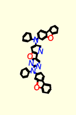 c1ccc(N(c2ccc3c(c2)oc2ccccc23)c2cnc3c(c2)oc2nc(N(c4ccccc4)c4ccc5c(c4)oc4ccccc45)ncc23)cc1